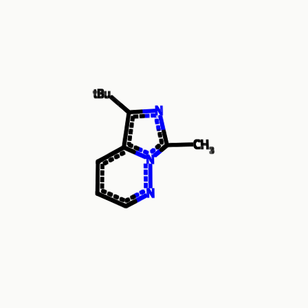 Cc1nc(C(C)(C)C)c2cccnn12